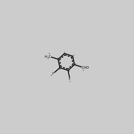 Cc1ccc(C=O)c(F)c1F